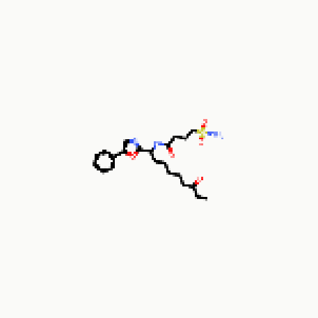 CCC(=O)CCCCCC(NC(=O)CCCS(N)(=O)=O)c1ncc(-c2ccccc2)o1